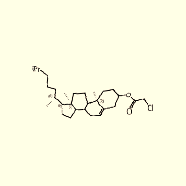 CC(C)CCC[C@@H](C)[C@H]1CCC2C3CC=C4CC(OC(=O)CCl)CC[C@]4(C)C3CC[C@@]21C